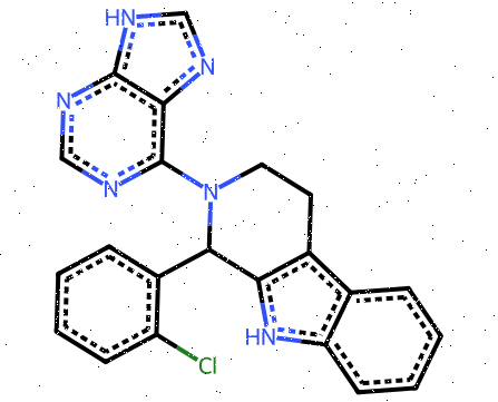 Clc1ccccc1C1c2[nH]c3ccccc3c2CCN1c1ncnc2[nH]cnc12